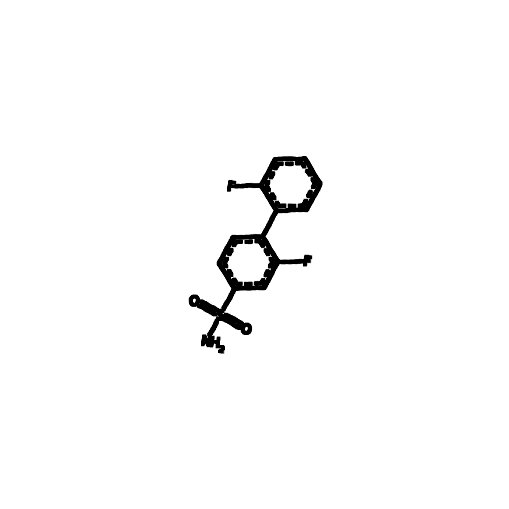 NS(=O)(=O)c1ccc(-c2ccccc2F)c(F)c1